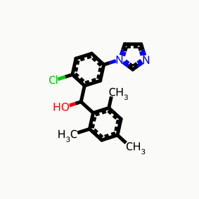 Cc1cc(C)c(C(O)c2cc(-n3ccnc3)ccc2Cl)c(C)c1